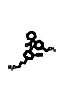 CCCCc1ccc(OC(=O)C2(c3ccc(CC)cc3)CCCCC2)c(C#N)c1